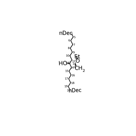 C=COCC.CCCCCCCCCCCCCCCCCC(O)CCCCCCCCCCCCCCCC